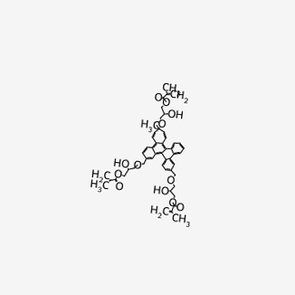 C=C(C)C(=O)OCC(O)COCc1ccc2c(c1)c1ccccc1c1c3c(c4ccc(COCC(O)COC(=O)C(=C)C)cc4c21)C=CC(C)(OCC(O)COC(=O)C(=C)C)C=C3